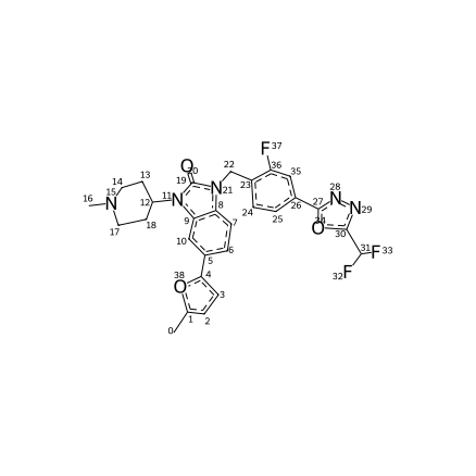 Cc1ccc(-c2ccc3c(c2)n(C2CCN(C)CC2)c(=O)n3Cc2ccc(-c3nnc(C(F)F)o3)cc2F)o1